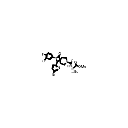 CC[C@H](C)[C@H](NC(=O)N1CCC2(CC1)C(=O)N(c1ccc(F)c(Cl)c1)C2c1ccc(Br)cn1)C(=O)OC